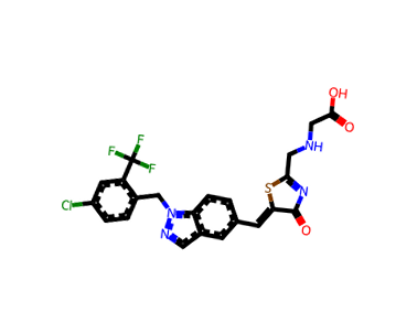 O=C(O)CNCC1=NC(=O)/C(=C/c2ccc3c(cnn3Cc3ccc(Cl)cc3C(F)(F)F)c2)S1